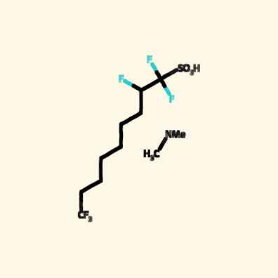 CNC.O=S(=O)(O)C(F)(F)C(F)CCCCCCC(F)(F)F